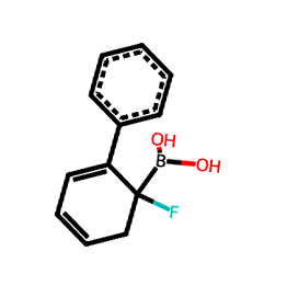 OB(O)C1(F)CC=CC=C1c1ccccc1